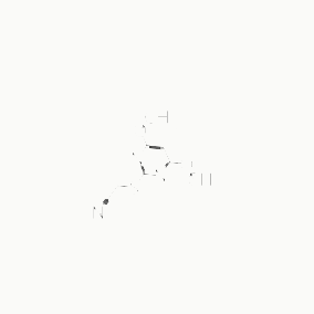 COc1cc(OC)nc(SCC#N)n1